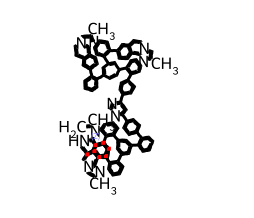 C=C(C)/N=c1\[nH]ccc2cc(-c3ccccc3-c3cc(-c4ccccc4-c4ccc(-c5cc(-c6ccc(-c7ccccc7C7C=CC(c8ccccc8-c8ccc9c(ccn%10cc(C)nc9%10)c8)=CC(c8ccccc8-c8ccc9c(ccn%10cc(C)nc9%10)c8)=C7)cc6)ncn5)cc4)cc(-c4ccccc4-c4ccc5c(ccn6cc(C)nc56)c4)c3)ccc12